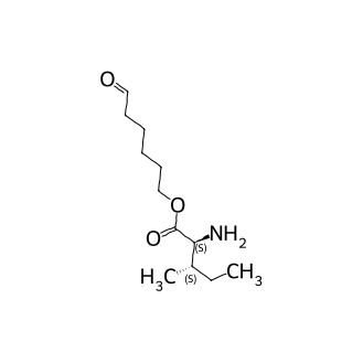 CC[C@H](C)[C@H](N)C(=O)OCCCCCC=O